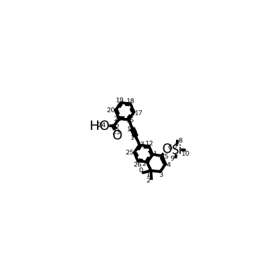 CC1(C)CC=C(O[Si](C)(C)C)c2cc(C#Cc3ccccc3C(=O)O)ccc21